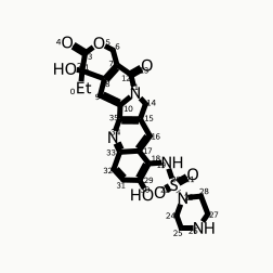 CCC1(O)C(=O)OCc2c1cc1n(c2=O)Cc2cc3c(NS(=O)(=O)N4CCNCC4)c(O)ccc3nc2-1